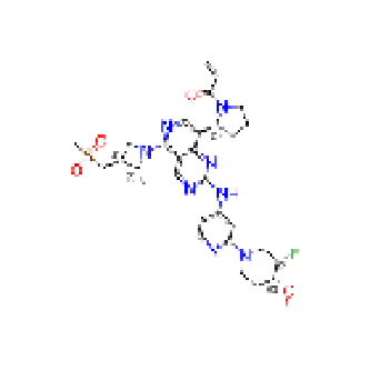 C=CC(=O)N1CCC[C@H]1c1cnc(N2C[C@H](CS(C)(=O)=O)[C@H]2C)c2cnc(Nc3ccnc(N4CC[C@@H](OC)[C@@H](F)C4)c3)nc12